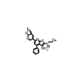 COCC[S+]([O-])c1sc2nc(-c3cnc4nn(C)cc4c3)cc(-c3ccccc3)c2c1N